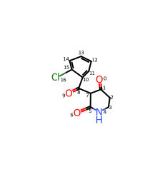 O=C1CCNC(=O)C1C(=O)c1ccccc1Cl